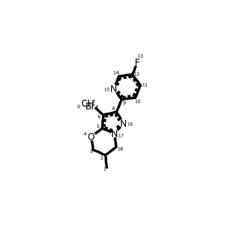 C.CC1COc2c(Br)c(-c3ccc(F)cn3)nn2C1